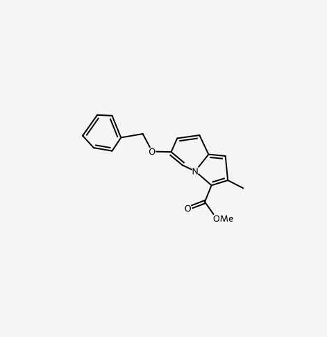 COC(=O)c1c(C)cc2ccc(OCc3ccccc3)cn12